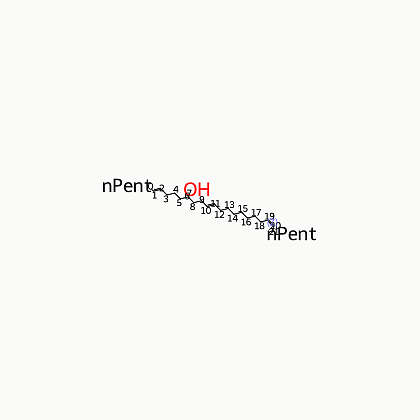 CCCCCC=CCCCC(O)CCC=CCCCCCCC/C=C\CCCCC